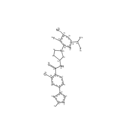 Cc1ncn(-c2ccc(C(=O)NC3CCN(c4nc(C(F)F)cc(C#N)c4F)C3)c(Cl)c2)n1